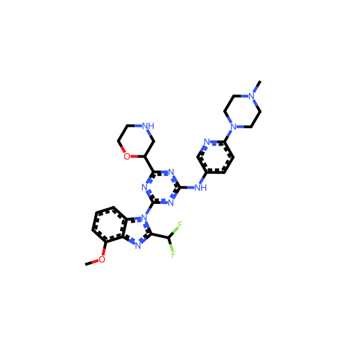 COc1cccc2c1nc(C(F)F)n2-c1nc(Nc2ccc(N3CCN(C)CC3)nc2)nc(C2CNCCO2)n1